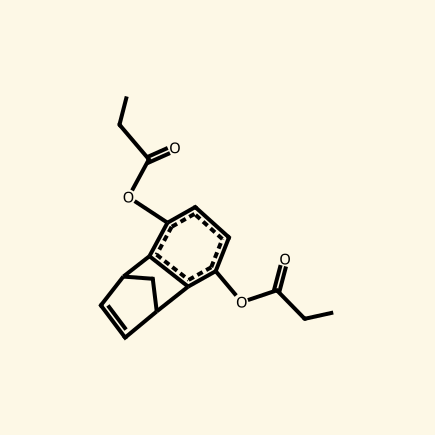 CCC(=O)Oc1ccc(OC(=O)CC)c2c1C1C=CC2C1